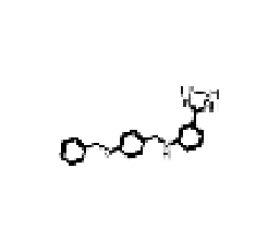 c1ccc(COc2ccc(CNc3cccc(C4=NNNN4)c3)cc2)cc1